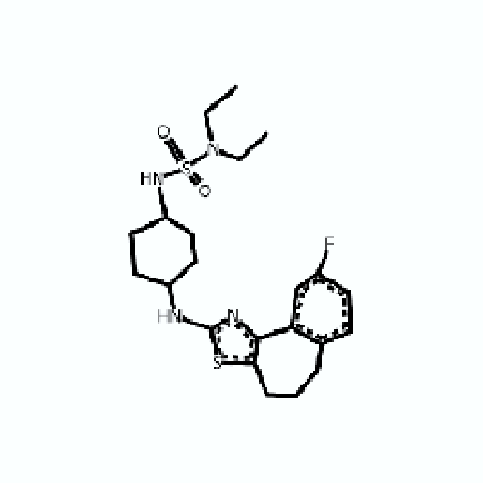 CCN(CC)S(=O)(=O)NC1CCC(Nc2nc3c(s2)CCCc2ccc(F)cc2-3)CC1